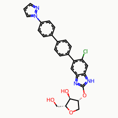 OC[C@H]1OC[C@@H](Oc2nc3cc(-c4ccc(-c5ccc(-n6cccn6)cc5)cc4)c(Cl)cc3[nH]2)[C@@H]1O